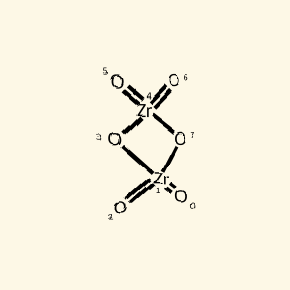 [O]=[Zr]1(=[O])[O][Zr](=[O])(=[O])[O]1